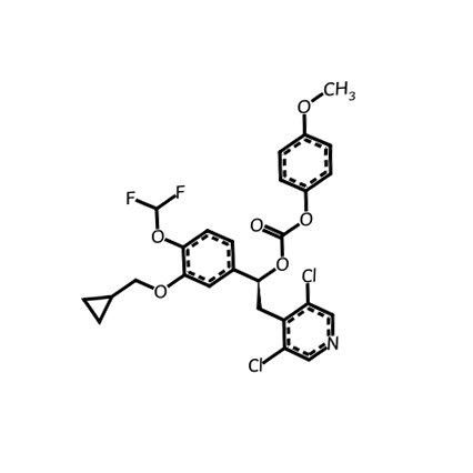 COc1ccc(OC(=O)O[C@@H](Cc2c(Cl)cncc2Cl)c2ccc(OC(F)F)c(OCC3CC3)c2)cc1